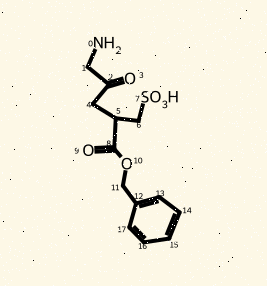 NCC(=O)CC(CS(=O)(=O)O)C(=O)OCc1ccccc1